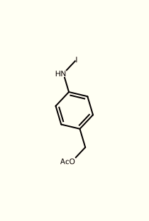 CC(=O)OCc1ccc(NI)cc1